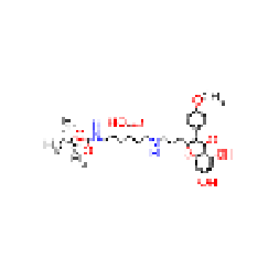 COc1ccc(-c2c(CCCNCCC(CCCNC(=O)OC(C)(C)C)C(=O)O)oc3cc(O)cc(O)c3c2=O)cc1